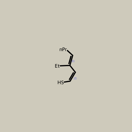 CCC/C=C(/C=C\S)CC